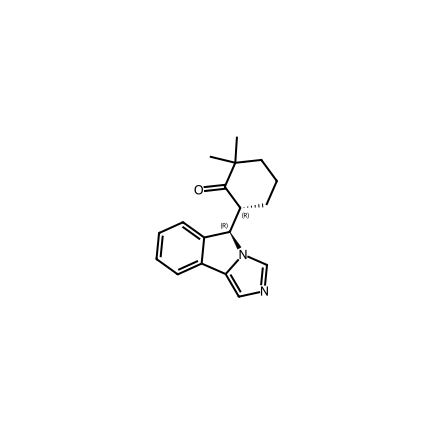 CC1(C)CCC[C@H]([C@@H]2c3ccccc3-c3cncn32)C1=O